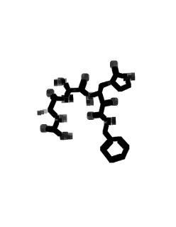 CCC[C@H](NC(=O)[C@@H](C)NC(=O)C(C)(C)C)C(=O)N[C@@H](C[C@@H]1CCNC1=O)C(=O)C(=O)NCc1ccccc1